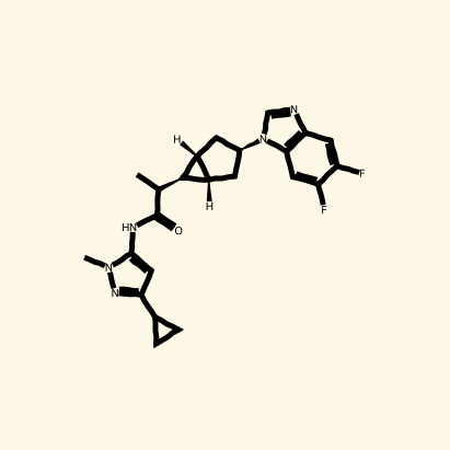 CC(C(=O)Nc1cc(C2CC2)nn1C)[C@H]1[C@@H]2C[C@@H](n3cnc4cc(F)c(F)cc43)C[C@@H]21